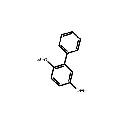 COc1ccc(OC)c(-c2[c]cccc2)c1